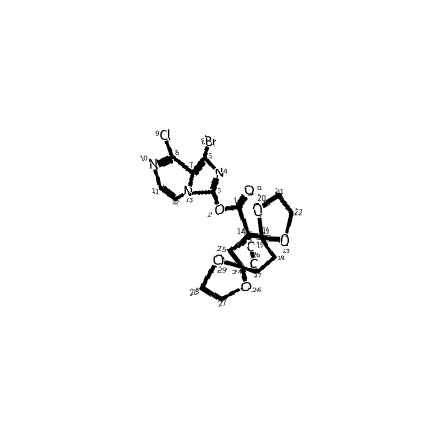 O=C(Oc1nc(Br)c2c(Cl)nccn12)C12CCC(CC13OCCO3)C1(C2)OCCO1